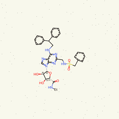 CCNC(=O)[C@H]1O[C@@H](n2cnc3c(NCC(c4ccccc4)c4ccccc4)nc(CNS(=O)(=O)Cc4ccccc4)nc32)[C@H](O)[C@@H]1O